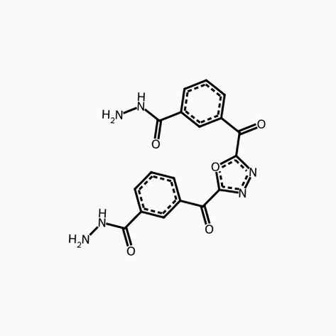 NNC(=O)c1cccc(C(=O)c2nnc(C(=O)c3cccc(C(=O)NN)c3)o2)c1